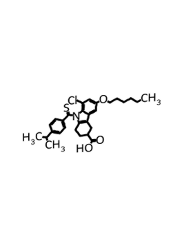 CCCCCCOc1cc(Cl)c2c(c1)c1c(n2C(=S)c2ccc(C(C)C)cc2)CCC(C(=O)O)C1